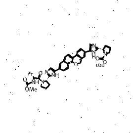 COC(=O)NC(C(=O)N1CCC[C@H]1c1ncc(-c2ccc3c4c(ccc3c2)-c2ccc(-c3cnc([C@@H]5CCCN5C(=O)OC(C)(C)C)[nH]3)cc2CO4)[nH]1)C(C)C